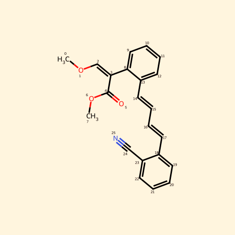 COC=C(C(=O)OC)c1ccccc1C=CC=Cc1ccccc1C#N